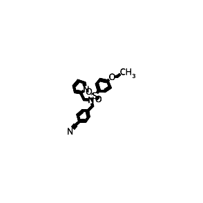 CCOc1ccc(S(=O)(=O)N(Cc2ccc(C#N)cc2)Cc2ccccn2)cc1